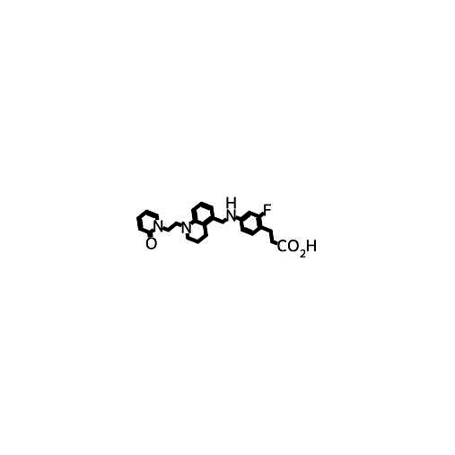 O=C(O)CCc1ccc(NCc2cccc3c2CCCN3CCn2ccccc2=O)cc1F